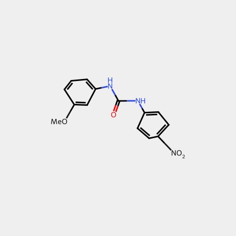 COc1cccc(NC(=O)Nc2ccc([N+](=O)[O-])cc2)c1